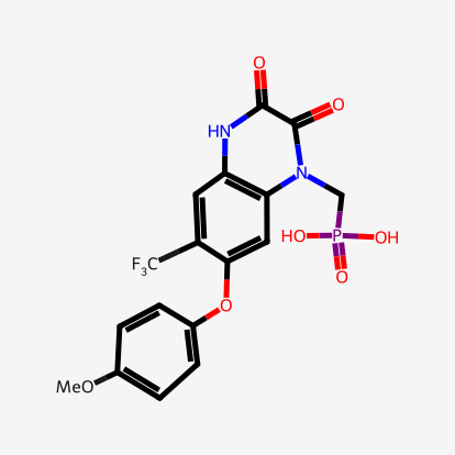 COc1ccc(Oc2cc3c(cc2C(F)(F)F)[nH]c(=O)c(=O)n3CP(=O)(O)O)cc1